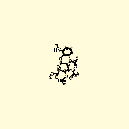 CNc1ccccc1O[C@@H]1O[C@H](C(=O)OC)[C@@H](OC(C)=O)[C@H](OC(C)=O)[C@H]1OC(C)=O